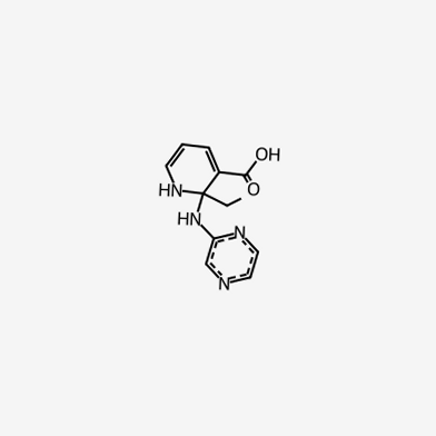 CCC1(Nc2cnccn2)NC=CC=C1C(=O)O